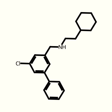 Clc1cc(CNCCC2CCCCC2)cc(-c2ccccc2)c1